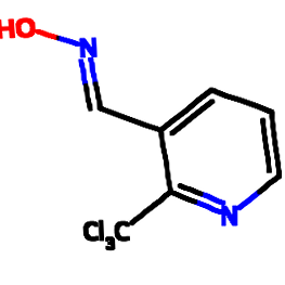 ON=Cc1cccnc1C(Cl)(Cl)Cl